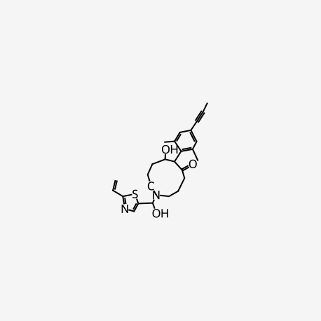 C=Cc1ncc(C(O)N2CCCC(=O)C(c3c(C)cc(C#CC)cc3C)C(O)CCC2)s1